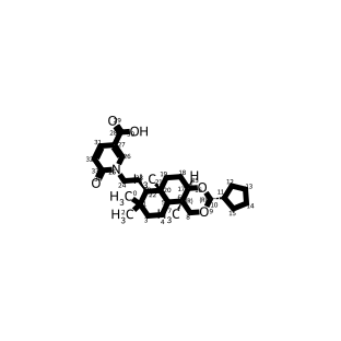 CC1(C)CCC2[C@]3(C)CO[C@@H](C4CCCC4)O[C@@H]3CC[C@@]2(C)[C@@H]1CCn1cc(C(=O)O)ccc1=O